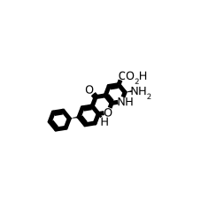 N[C@@H]1NC2=C(C=C1C(=O)O)C(=O)C1=CC([C@H]3C=CC=CC3)=CC[C@H]1O2